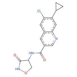 O=C(NC1CONC1=O)c1cnc2cc(C3CC3)c(Cl)cc2c1